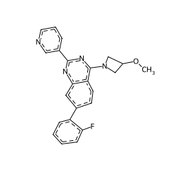 COC1CN(c2nc(-c3cccnc3)nc3cc(-c4ccccc4F)ccc23)C1